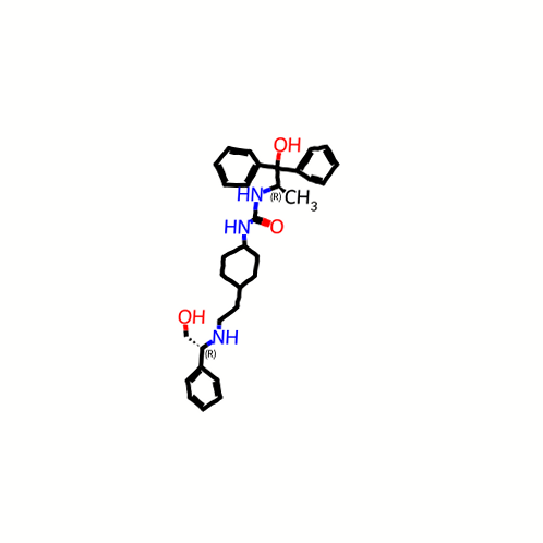 C[C@@H](NC(=O)NC1CCC(CCN[C@@H](CO)c2ccccc2)CC1)C(O)(c1ccccc1)c1ccccc1